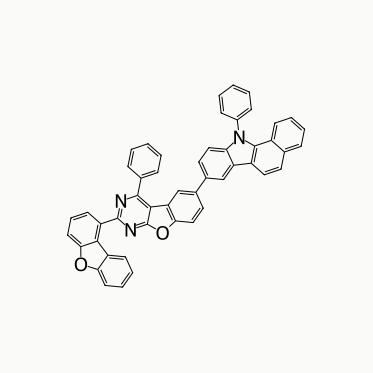 c1ccc(-c2nc(-c3cccc4oc5ccccc5c34)nc3oc4ccc(-c5ccc6c(c5)c5ccc7ccccc7c5n6-c5ccccc5)cc4c23)cc1